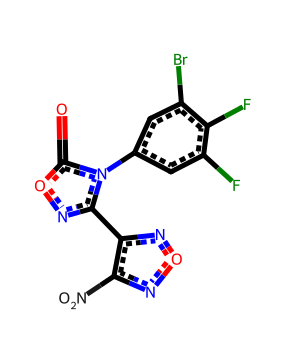 O=c1onc(-c2nonc2[N+](=O)[O-])n1-c1cc(F)c(F)c(Br)c1